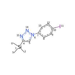 C[Si](C)(C)c1cn(-c2ccc(I)cc2)nn1